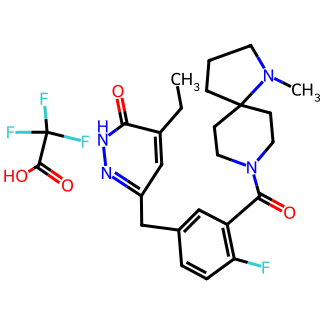 CCc1cc(Cc2ccc(F)c(C(=O)N3CCC4(CCCN4C)CC3)c2)n[nH]c1=O.O=C(O)C(F)(F)F